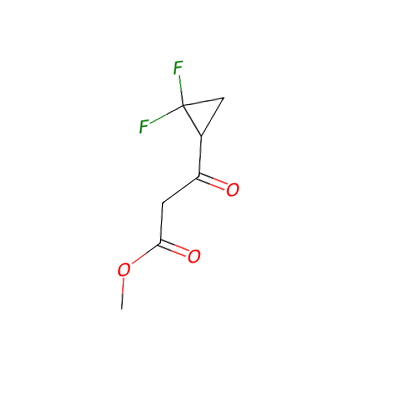 COC(=O)CC(=O)C1CC1(F)F